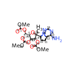 COC(=O)OC[C@H]1O[C@@](C)(c2ccc3c(N)ncnn23)[C@H](OC(=O)OC)[C@@H]1OC(=O)OC